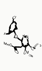 COC(=O)c1c(Oc2ccc(Cl)cc2F)nnc(C(F)(F)F)c1C